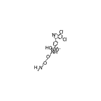 CN1Cc2c(Cl)cc(Cl)cc2C(c2ccc([S+]([O-])N(O)NCCOCCOCCN)cc2)C1